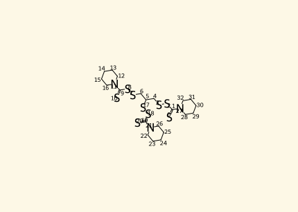 S=C(SSCC(CSSC(=S)N1CCCCC1)SSC(=S)N1CCCCC1)N1CCCCC1